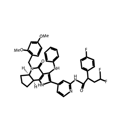 COc1ccc(CN2C(=O)c3c([nH]c(-c4ccnc(NC(=O)C(CC(F)F)c5ccc(F)cc5)c4)c3Nc3ccccc3)[C@H]3CCC[C@H]32)c(OC)c1